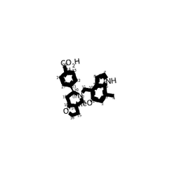 COc1cc(C)c2[nH]ccc2c1CN1CC2CCOC2C[C@H]1c1ccc(C(=O)O)cc1